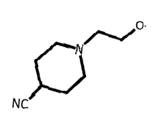 N#CC1CCN(CC[O])CC1